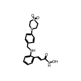 O=C(/C=C/c1ccccc1NCc1ccc(N2CCS(=O)(=O)CC2)cc1)NO